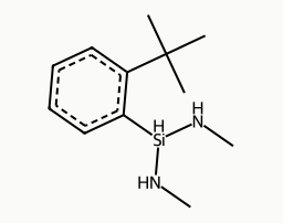 CN[SiH](NC)c1ccccc1C(C)(C)C